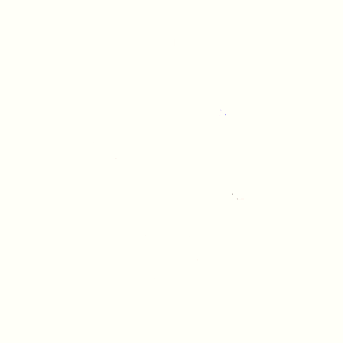 O=C([O-])CCSC1c2ccccc2COc2ccc(C=Cc3ccc4c(F)cccc4n3)cc21.[Na+]